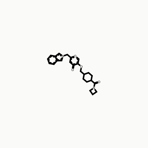 O=C(C1CCC(COc2coc(Cn3cc4ccccc4c3)cc2=O)CC1)N1CCC1